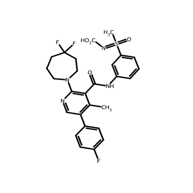 Cc1c(-c2ccc(F)cc2)cnc(N2CCCC(F)(F)CC2)c1C(=O)Nc1cccc(S(C)(=O)=NC(=O)O)c1